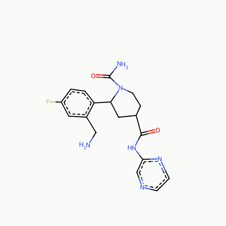 NCc1cc(F)ccc1C1CC(C(=O)Nc2cnccn2)CCN1C(N)=O